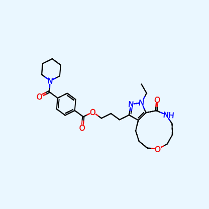 CCn1nc(CCCOC(=O)c2ccc(C(=O)N3CCCCC3)cc2)c2c1C(=O)NCCCOCCC2